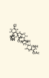 CC(=O)Oc1c[nH]c2cc(-c3cnc([C@@H]4CCc5cc(-c6cc(Cl)ccc6-n6cnnn6)cc(=O)n54)[nH]3)ccc12